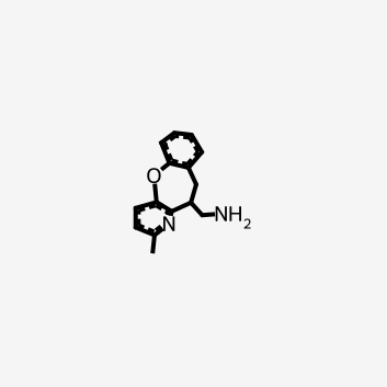 Cc1ccc2c(n1)C(CN)Cc1ccccc1O2